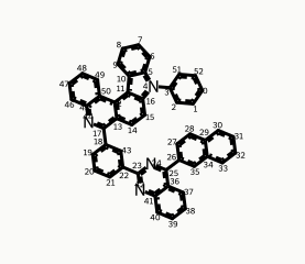 c1ccc(-n2c3ccccc3c3c4c(ccc32)c(-c2cccc(-c3nc(-c5ccc6ccccc6c5)c5ccccc5n3)c2)nc2ccccc24)cc1